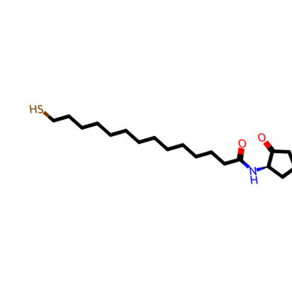 O=C(CCCCCCCCCCCCCS)N[C@@H]1CCCC1=O